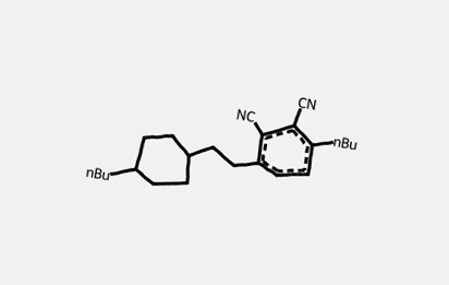 CCCCc1ccc(CCC2CCC(CCCC)CC2)c(C#N)c1C#N